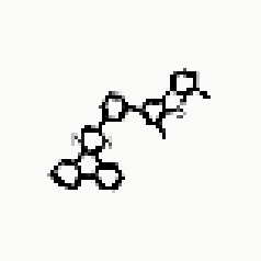 Cc1cccc2c1sc1c(C)cc(-c3cccc(-c4cnc5c6ccccc6c6ccccc6c5n4)c3)cc12